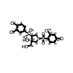 O=S(=O)(c1ccc(Cl)c(Cl)c1)[C@H]1CN(S(=O)(=O)c2ccc(Cl)cc2Cl)C[C@@]1(O)CO